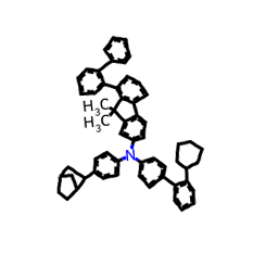 CC1(C)c2cc(N(c3ccc(-c4ccccc4C4CCCCC4)cc3)c3ccc(C4CC5CCC4C5)cc3)ccc2-c2cccc(-c3ccccc3-c3ccccc3)c21